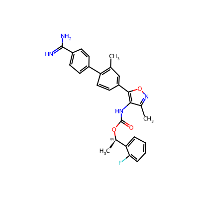 Cc1cc(-c2onc(C)c2NC(=O)O[C@H](C)c2ccccc2F)ccc1-c1ccc(C(=N)N)cc1